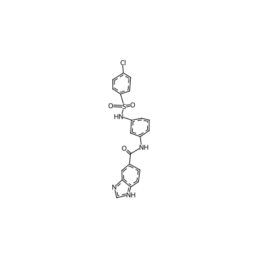 O=C(Nc1cccc(NS(=O)(=O)c2ccc(Cl)cc2)c1)c1ccc2[nH]cnc2c1